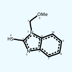 COCn1c(S)nc2ccccc21